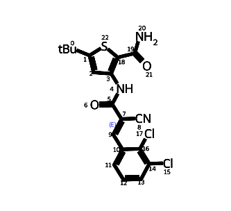 CC(C)(C)c1cc(NC(=O)/C(C#N)=C/c2cccc(Cl)c2Cl)c(C(N)=O)s1